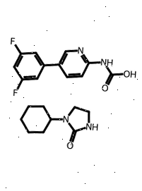 O=C(O)Nc1ccc(-c2cc(F)cc(F)c2)cn1.O=C1NCCN1C1CCCCC1